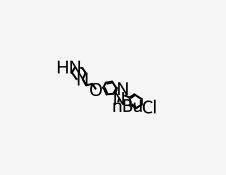 CCCCn1c(-c2ccc(Cl)cc2)nc2ccc(OCCN3CCNCC3)cc21